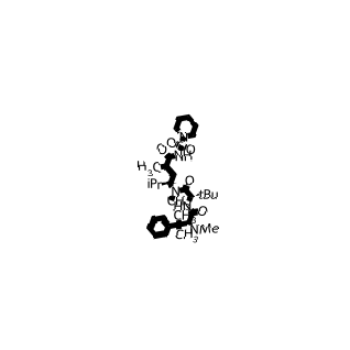 CN[C@H](C(=O)N[C@H](C(=O)N(C)[C@H](C=C(C)C(=O)NS(=O)(=O)N1CCCCC1)C(C)C)C(C)(C)C)C(C)(C)c1ccccc1